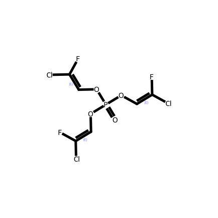 O=P(O/C=C(\F)Cl)(O/C=C(\F)Cl)O/C=C(\F)Cl